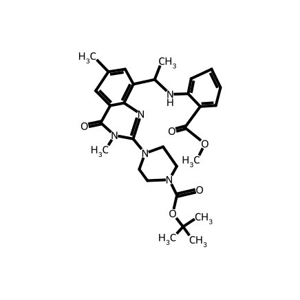 COC(=O)c1ccccc1NC(C)c1cc(C)cc2c(=O)n(C)c(N3CCN(C(=O)OC(C)(C)C)CC3)nc12